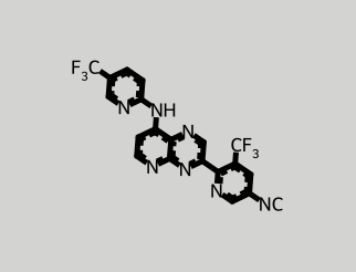 [C-]#[N+]c1cnc(-c2cnc3c(Nc4ccc(C(F)(F)F)cn4)ccnc3n2)c(C(F)(F)F)c1